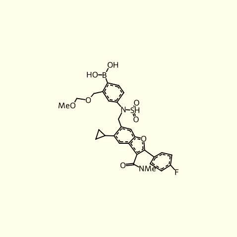 CNC(=O)c1c(-c2ccc(F)cc2)oc2cc(CN(c3ccc(B(O)O)c(COCOC)c3)[SH](=O)=O)c(C3CC3)cc12